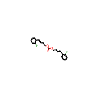 O=C(OCCC=Cc1ccccc1F)OCCC=Cc1ccccc1F